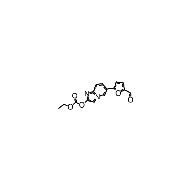 CCOC(=O)Oc1cn2cc(-c3ccc(C=O)o3)ccc2n1